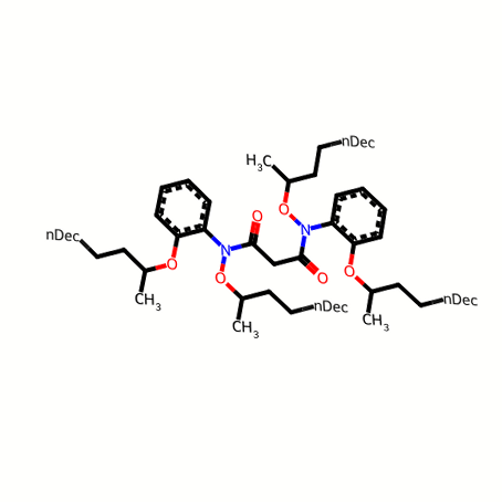 CCCCCCCCCCCCC(C)Oc1ccccc1N(OC(C)CCCCCCCCCCCC)C(=O)CC(=O)N(OC(C)CCCCCCCCCCCC)c1ccccc1OC(C)CCCCCCCCCCCC